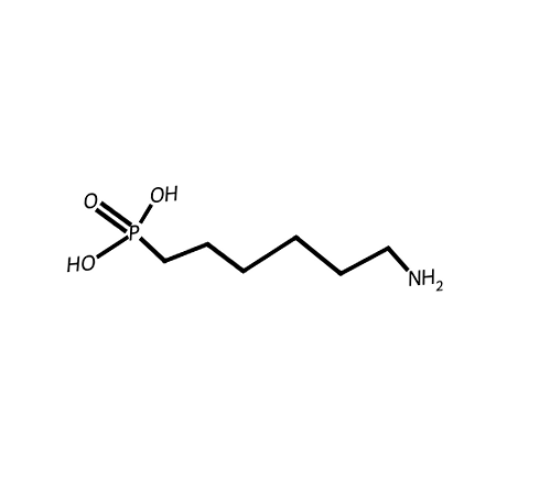 NCCCCCCP(=O)(O)O